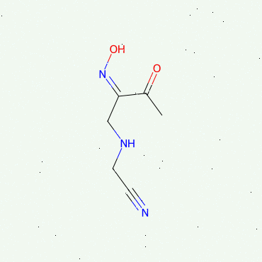 CC(=O)/C(CNCC#N)=N\O